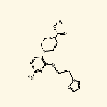 CC(C)(C)OC(=O)N1CCN(c2ccc(N)cc2OCCn2cccn2)CC1